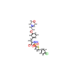 O=C(O)C1(NS(=O)(=O)c2ccc(-c3ccc(Cl)cc3)s2)CC1c1cccc(OCCN2CCOCC2)c1